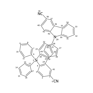 N#Cc1ccc([Si](c2ccccc2)(c2ccccc2)c2ccccc2)c(-c2ccc(-n3c4ccccc4c4cc(C#N)ccc43)cc2)c1